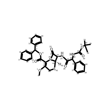 COC1=C(C(=O)OC(c2ccccc2)c2ccccc2)N2C(=O)[C@@H](NC(=O)C(NC(=O)OC(C)(C)C)c3ccccc3)[C@H]2SC1